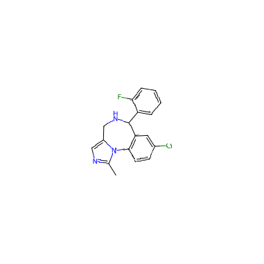 Cc1ncc2n1-c1ccc(Cl)cc1C(c1ccccc1F)NC2